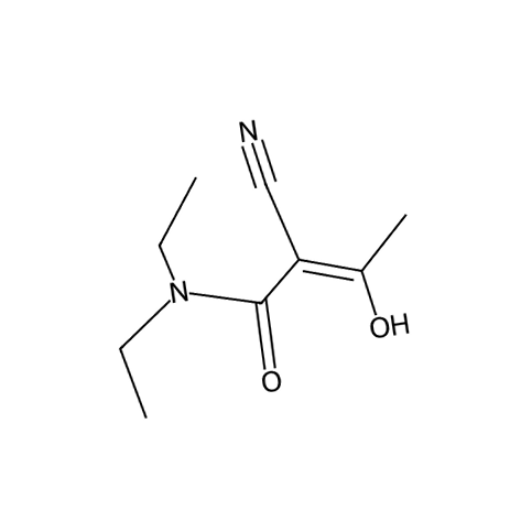 CCN(CC)C(=O)C(C#N)=C(C)O